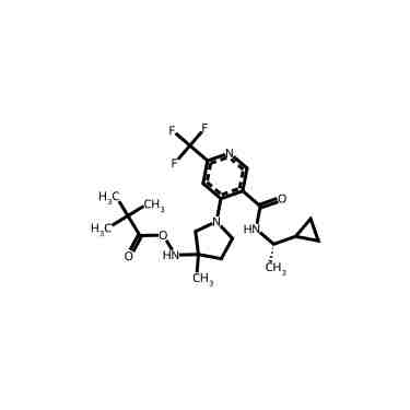 C[C@H](NC(=O)c1cnc(C(F)(F)F)cc1N1CCC(C)(NOC(=O)C(C)(C)C)C1)C1CC1